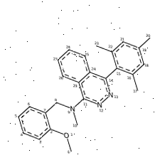 COc1ccccc1CN(C)c1nnc(-c2c(C)cc(C)cc2C)c2ccccc12